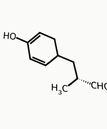 C[C@@H](C=O)CC1C=CC(O)=CC1